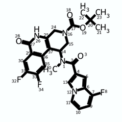 CN(C(=O)c1cc2c(F)cccn2c1)C1CN(C(=O)OC(C)(C)C)Cc2[nH]c(=O)c3cc(F)c(F)cc3c21